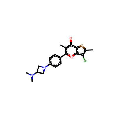 Cc1sc2c(=O)c(C)c(-c3ccc(N4CC(N(C)C)C4)cc3)oc2c1Br